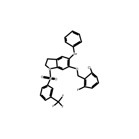 O=S(=O)(c1cccc(C(F)(F)F)c1)N1CCc2cc([Se]c3ccccc3)c(OCc3c(F)cccc3Cl)cc21